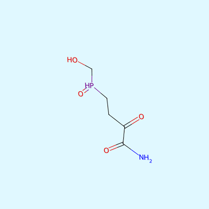 NC(=O)C(=O)CC[PH](=O)CO